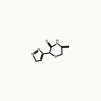 C=C1CSC(C2=CCN=N2)C(=O)N1